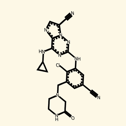 N#Cc1cc(CN2CCNC(=O)C2)c(Cl)c(Nc2nc(NC3CC3)c3ncc(C#N)n3n2)c1